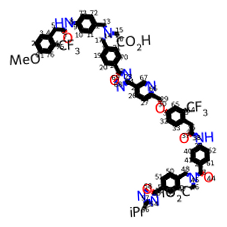 COc1ccc(CC(=O)Nc2ccc(CN(CC(=O)O)Cc3ccc(-c4nc(-c5ccc(COc6ccc(CC(=O)Nc7ccc(C(=O)N(CC(=O)O)Cc8ccc(-c9nc(C(C)C)no9)cc8)cc7)c(C(F)(F)F)c6)nc5)no4)cc3)cc2)c(C(F)(F)F)c1